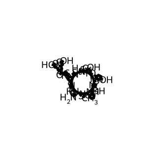 Cc1sc2nc1C(=O)NC([C@H](O)c1ccccc1)c1nc(cs1)C(=O)N[C@@H](Cc1ccc(O)cc1)C(=O)N1C[C@H](O)[C@H](C)[C@H]1c1nc(cs1)-c1nc(cs1)-c1nc(-c3nc(C(=O)N(CCCC(=O)O)CC(=O)CC(=O)O)cs3)ccc1-c1nc(cs1)C(=O)N[C@H]2CC(N)=O